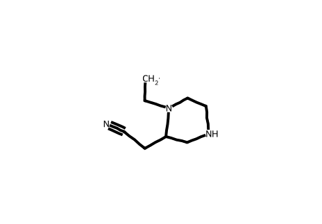 [CH2]CN1CCNCC1CC#N